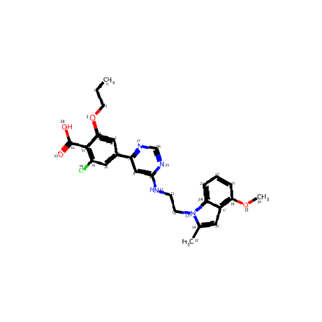 CCCOc1cc(-c2cc(NCCn3c(C)cc4c(OC)cccc43)ncn2)cc(Cl)c1C(=O)O